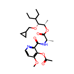 CCC(CC)[C@@H](OCC1CC1)[C@H](C)OC(=O)[C@H](C)NC(=O)c1nccc(OC)c1OC(C)=O